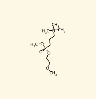 COCCOP(=O)(CCC[N+](C)(C)C)OC